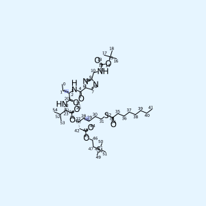 C/C=C(\NC(=O)C1C=NC(CNC(=O)OC(C)(C)C)=N1)C(=O)N[C@H](C(=O)O[C@H](/C=C/CCSC(=O)CCCCCCC)CC(=O)OCC[Si](C)(C)C)C(C)C